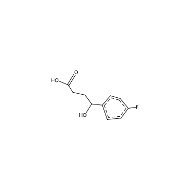 O=C(O)CCC(O)c1ccc(F)cc1